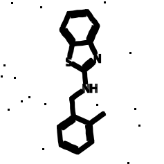 Cc1ccccc1CNc1nc2ccccc2s1